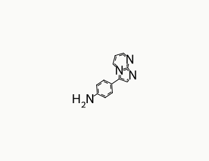 Nc1ccc(-c2cnc3ncccn23)cc1